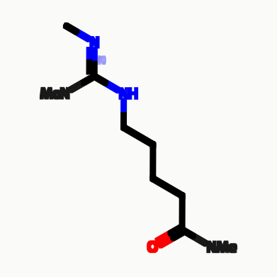 C/N=C(\NC)NCCCCC(=O)NC